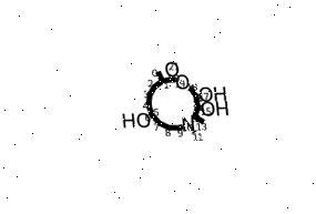 CC1CCCC(O)CCCN(C)C(C)C(O)C(O)COC1=O